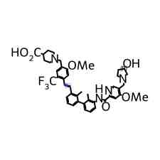 COc1cc(/C=C/c2cccc(-c3cccc(NC(=O)c4cc(OC)c(CN5CC[C@@H](O)C5)cn4)c3C)c2C)c(C(F)(F)F)cc1CN1CCC(C(=O)O)CC1